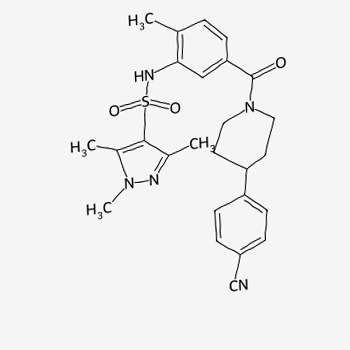 Cc1ccc(C(=O)N2CCC(c3ccc(C#N)cc3)CC2)cc1NS(=O)(=O)c1c(C)nn(C)c1C